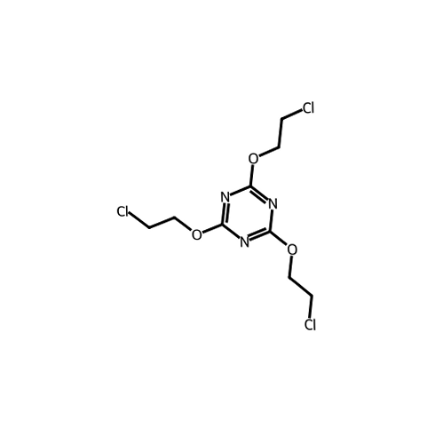 ClCCOc1nc(OCCCl)nc(OCCCl)n1